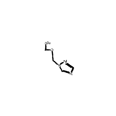 CCCCCOCn1cncn1